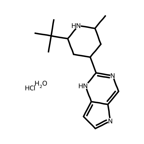 CC1CC(c2ncc3nccc-3[nH]2)CC(C(C)(C)C)N1.Cl.O